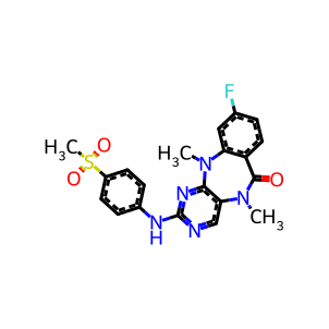 CN1C(=O)c2ccc(F)cc2N(C)c2nc(Nc3ccc(S(C)(=O)=O)cc3)ncc21